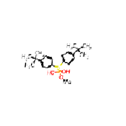 CC(C)(C)c1ccc(S(c2ccc(C(C)(C)C)cc2)=P(O)(O)[O][Mo])cc1